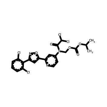 CC(C)OC(=O)OCN(C(=O)C(Cl)Cl)c1ccnc(-c2cc(-c3c(Cl)cccc3Cl)no2)c1